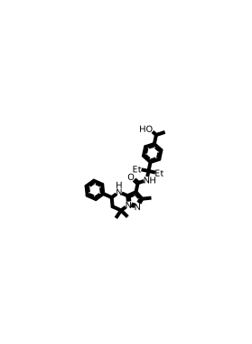 CCC(CC)(NC(=O)c1c(C)nn2c1NC(c1ccccc1)CC2(C)C)c1ccc(C(C)O)cc1